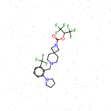 O=C(OC(C(F)(F)F)C(F)(F)F)N1CC2(CCN(Cc3c(N4CCCC4)cccc3C(F)(F)F)CC2)C1